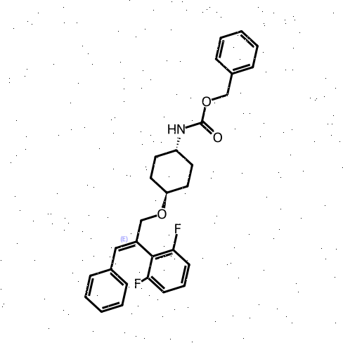 O=C(N[C@H]1CC[C@H](OC/C(=C/c2ccccc2)c2c(F)cccc2F)CC1)OCc1ccccc1